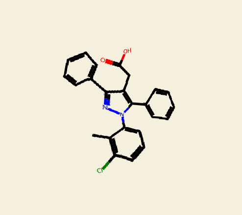 Cc1c(Cl)cccc1-n1nc(-c2ccccc2)c(CC(=O)O)c1-c1ccccc1